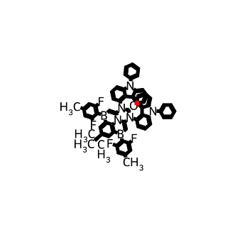 Cc1cc(F)c(B2C=C3N4C(=CB(c5c(F)cc(C)cc5F)c5cc(C(C)(C)C)cc2c54)N(c2cccc4c2c2ccccc2n4-c2ccccc2)C(=O)N3c2cccc3c2c2ccccc2n3-c2ccccc2)c(F)c1